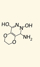 NC1C2=C(OCCO2)C(O)=NN1O